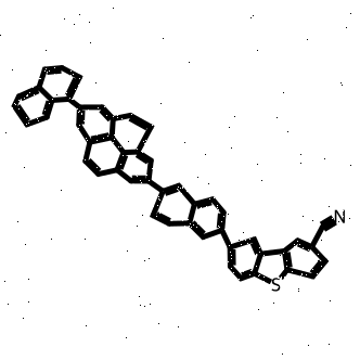 N#Cc1ccc2sc3ccc(-c4ccc5cc(-c6cc7ccc8cc(-c9cccc%10ccccc9%10)cc9ccc(c6)c7c89)ccc5c4)cc3c2c1